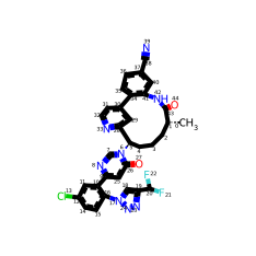 C[C@@H]1CCC[C@H](n2cnc(-c3cc(Cl)ccc3-n3cc(C(F)F)nn3)cc2=O)c2cc(ccn2)-c2ccc(C#N)cc2NC1=O